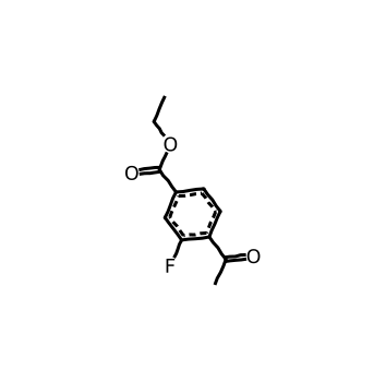 CCOC(=O)c1ccc(C(C)=O)c(F)c1